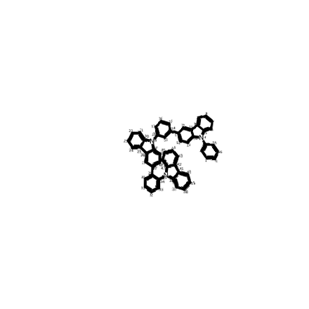 c1ccc(-n2c3ccccc3c3cc(-c4cccc(-n5c6ccccc6c6cc(-c7ccccc7-n7c8ccccc8c8ccccc87)ccc65)c4)ccc32)cc1